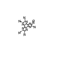 N#Cc1nc2c3nc(C#N)c(C#N)nc3c3nc(N=O)c(C#N)nc3c2nc1C#N